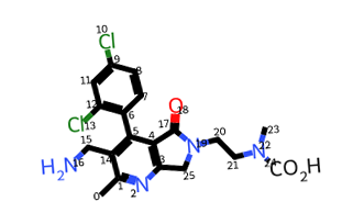 Cc1nc2c(c(-c3ccc(Cl)cc3Cl)c1CN)C(=O)N(CCN(C)C(=O)O)C2